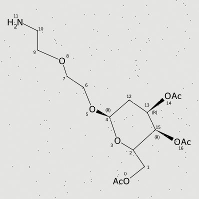 CC(=O)OCC1O[C@@H](OCCOCCN)C[C@@H](OC(C)=O)[C@H]1OC(C)=O